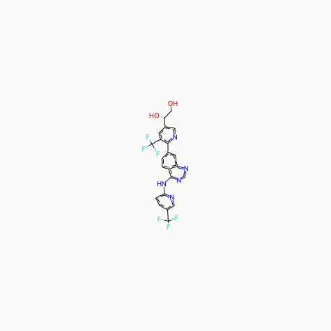 OC[C@@H](O)c1cnc(-c2ccc3c(Nc4ccc(C(F)(F)F)cn4)ncnc3c2)c(C(F)(F)F)c1